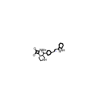 CNc1c(N2CCNCC2C(=O)c2ccc(/C=C/c3n[nH]c4ccccc34)cc2)c(=O)c1=O